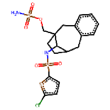 NS(=O)(=O)OCC12CCC(Cc3ccccc3C1)C2NS(=O)(=O)c1ccc(Cl)s1